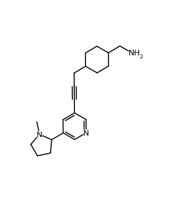 CN1CCCC1c1cncc(C#CCC2CCC(CN)CC2)c1